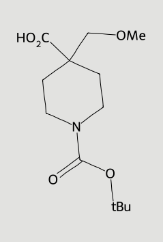 COCC1(C(=O)O)CCN(C(=O)OC(C)(C)C)CC1